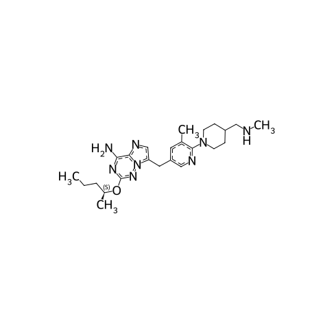 CCC[C@H](C)Oc1nc(N)c2ncc(Cc3cnc(N4CCC(CNC)CC4)c(C)c3)n2n1